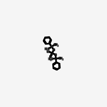 C[Si](C)(OP(=O)(Cl)O[Si](C)(C)c1ccccc1)c1ccccc1